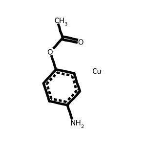 CC(=O)Oc1ccc(N)cc1.[Cu]